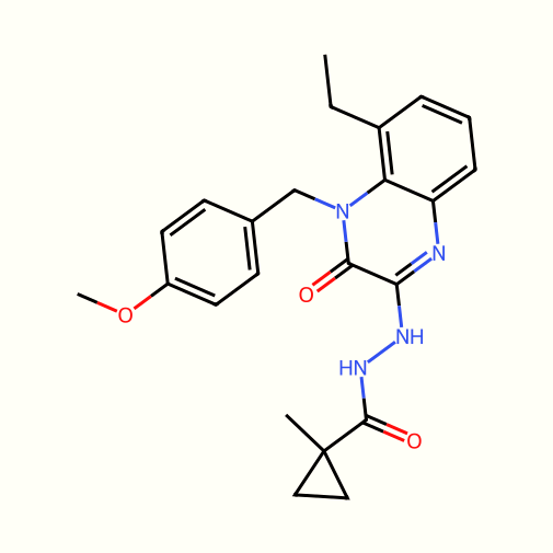 CCc1cccc2nc(NNC(=O)C3(C)CC3)c(=O)n(Cc3ccc(OC)cc3)c12